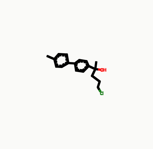 Cc1ccc(-c2ccc(C(C)(O)CCCCl)cc2)cc1